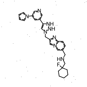 FC1(CNCc2ccc3nc(CN4C=C(c5cncc(-n6cccc6)c5)NN4)cn3c2)CCCCC1